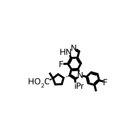 Cc1cc(-n2c(C(C)C)c([C@@H]3CC[C@@](C)(C(=O)O)C3)c3c(F)c4[nH]ncc4cc32)ccc1F